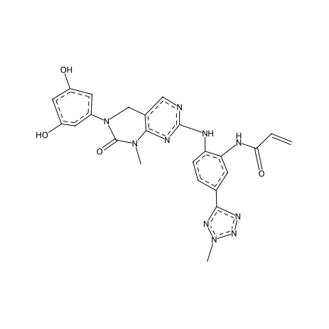 C=CC(=O)Nc1cc(-c2nnn(C)n2)ccc1Nc1ncc2c(n1)N(C)C(=O)N(c1cc(O)cc(O)c1)C2